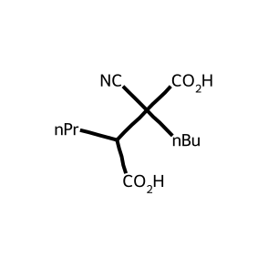 CCCCC(C#N)(C(=O)O)C(CCC)C(=O)O